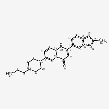 CCCN1CCN(C2=CN3C(=O)C=C(c4ccc5nc(C)sc5c4)PC3C=C2)CC1